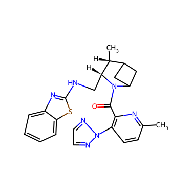 Cc1ccc(-n2nccn2)c(C(=O)N2C3CC(C3)[C@@H](C)[C@H]2CNc2nc3ccccc3s2)n1